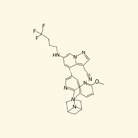 COc1ccc(CN2C3CC2CN(c2ccc(-c4cc(NCCCC(F)(F)F)cn5ncc(C#N)c45)cn2)C3)cn1